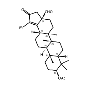 CC(=O)O[C@H]1CC[C@@]2(C)[C@H](CC[C@]3(C)[C@@H]2CC[C@@H]2C4=C(C(C)C)C(=O)C[C@]4(C=O)CC[C@]23C)C1(C)C